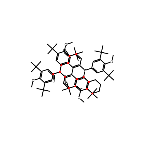 COc1c(C(C)(C)C)cc(P(c2cc(C(C)(C)C)c(OC)c(C(C)(C)C)c2)c2ccc(Cl)c(OC3CCCCC3)c2-c2c(P(c3cc(C(C)(C)C)c(OC)c(C(C)(C)C)c3)c3cc(C(C)(C)C)c(OC)c(C(C)(C)C)c3)ccc(Cl)c2OC(C=O)OC)cc1C(C)(C)C